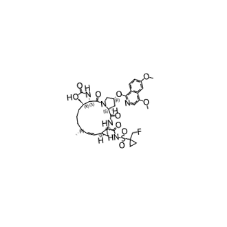 COc1ccc2c(O[C@@H]3C[C@H]4C(=O)N[C@]5(C(=O)NS(=O)(=O)C6(CF)CC6)C[C@H]5C=C[C@H](C)CCC[C@@H](C)[C@H](NC(=O)O)C(=O)N4C3)ncc(OC)c2c1